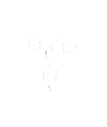 CC(C)[C@H]1CC[C@@H](OC[C@H]2[C@@H](N[S+](C)[O-])CCCN2C(=O)C2CCOCC2)CC1